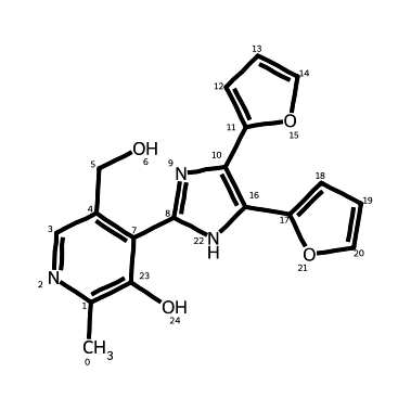 Cc1ncc(CO)c(-c2nc(-c3ccco3)c(-c3ccco3)[nH]2)c1O